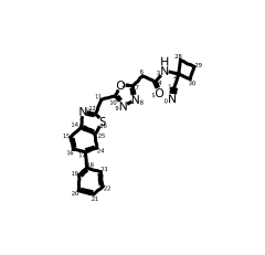 N#CC1(NC(=O)Cc2nnc(Cc3nc4ccc(-c5ccccc5)cc4s3)o2)CCC1